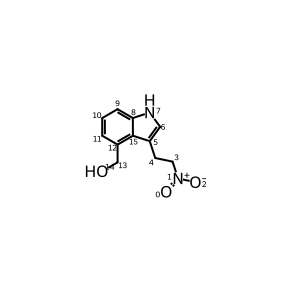 O=[N+]([O-])CCc1c[nH]c2cccc(CO)c12